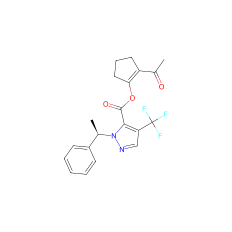 CC(=O)C1=C(OC(=O)c2c(C(F)(F)F)cnn2[C@H](C)c2ccccc2)CCC1